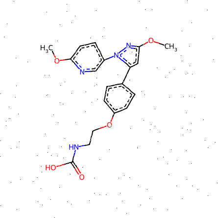 COc1ccc(-n2nc(OC)cc2-c2ccc(OCCNC(=O)O)cc2)cn1